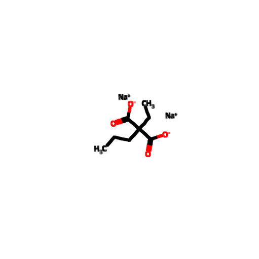 CCCC(CC)(C(=O)[O-])C(=O)[O-].[Na+].[Na+]